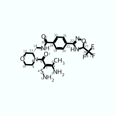 C/C(N)=C(/SN)C(=O)N1CCOC[C@@H]1CNC(=O)c1ccc(C2=NOC(C(F)(F)F)N2)cc1